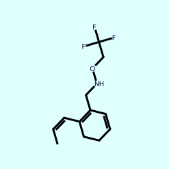 C/C=C\C1=C(CNOCC(F)(F)F)C=CCC1